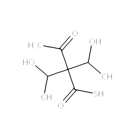 CC(=O)C(C(=O)S)(C(C)O)C(C)O